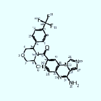 CC1COCC(c2ccc(C(F)(F)F)cc2)N1C(=O)c1ccc2nc(N)c3cncn3c2c1